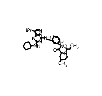 C=CC(=O)N1CCC(C)CC1C(=O)Nc1cccc(CNc2nc(NC3CCCCC3)nc3c(C(C)C)cnn23)c1